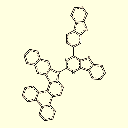 c1ccc2cc3c(cc2c1)c1c2c4ccccc4c4ccccc4c2ccc1n3-c1nc(-c2ccc3c(c2)sc2ccccc23)c2sc3ccccc3c2n1